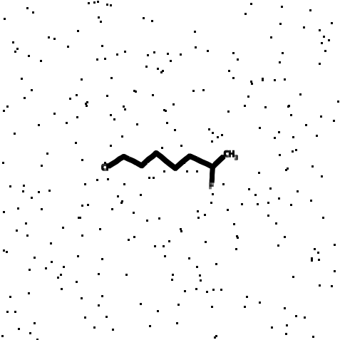 CC(F)CCCCCCl